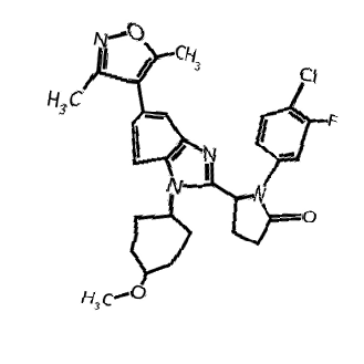 COC1CCC(n2c(C3CCC(=O)N3c3ccc(Cl)c(F)c3)nc3cc(-c4c(C)noc4C)ccc32)CC1